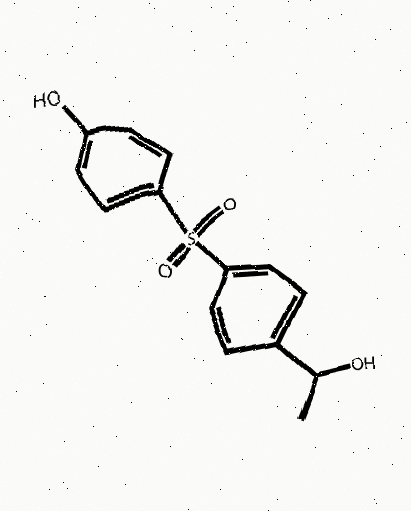 CC(O)c1ccc(S(=O)(=O)c2ccc(O)cc2)cc1